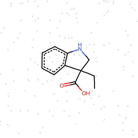 C[CH]C1(C(=O)O)CNc2ccccc21